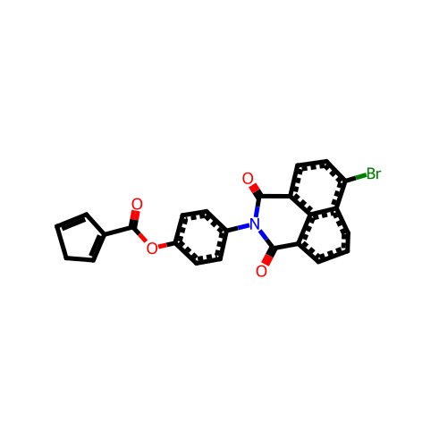 O=C(Oc1ccc(N2C(=O)c3cccc4c(Br)ccc(c34)C2=O)cc1)C1=CCC=C1